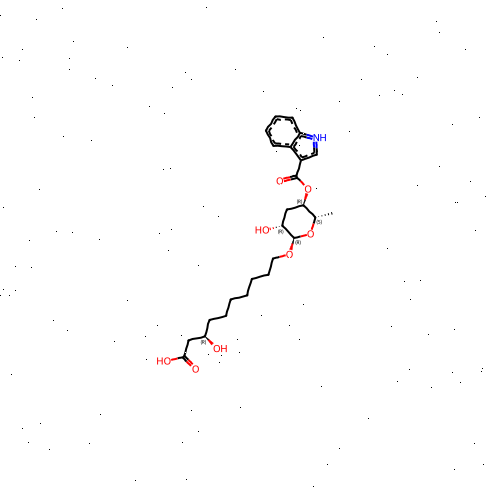 C[C@@H]1O[C@@H](OCCCCCCC[C@@H](O)CC(=O)O)[C@H](O)C[C@H]1OC(=O)c1c[nH]c2ccccc12